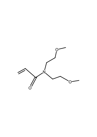 C=CC(=O)N(CCOC)CCOC